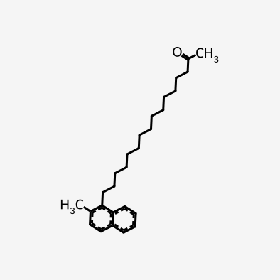 CC(=O)CCCCCCCCCCCCCCc1c(C)ccc2ccccc12